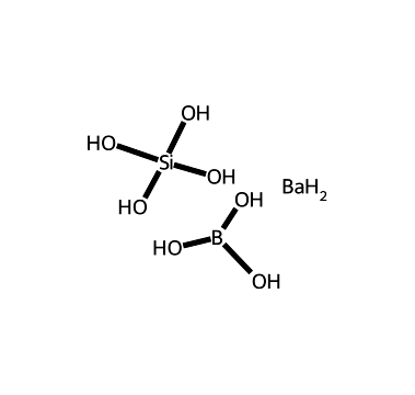 OB(O)O.O[Si](O)(O)O.[BaH2]